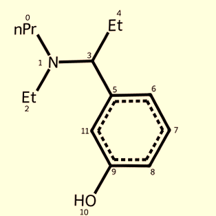 CCCN(CC)C(CC)c1cccc(O)c1